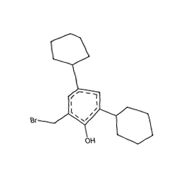 Oc1c(CBr)cc(C2CCCCC2)cc1C1CCCCC1